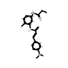 C=C(/C=C/c1ccc(N(C)C)cc1)Sc1cc(NC(=O)CC)ccc1C